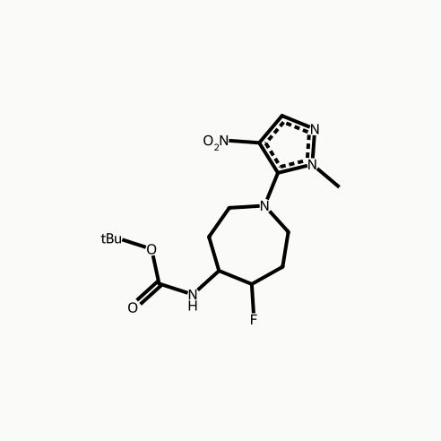 Cn1ncc([N+](=O)[O-])c1N1CCC(F)C(NC(=O)OC(C)(C)C)CC1